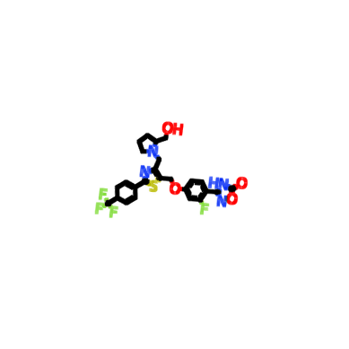 O=c1[nH]c(-c2ccc(OCc3sc(C4=CCC(C(F)(F)F)C=C4)nc3CN3CCCC3CO)cc2F)no1